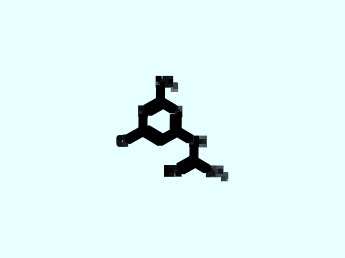 N=C(N)Nc1cc(Cl)nc(N)n1